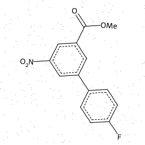 COC(=O)c1cc(-c2ccc(F)cc2)cc([N+](=O)[O-])c1